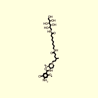 COc1cc(N)c(Cl)cc1C(=O)N[C@@H]1CCN(CCC(C)CCC(=O)NCCCCCCCC(=O)NC[C@H](O)[C@@H](O)[C@H](O)[C@H](O)CO)C[C@@H]1OC